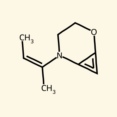 C/C=C(/C)N1CCOC2=C=C21